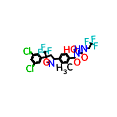 Cc1cc(C2=NOC(c3cc(Cl)cc(Cl)c3)(C(F)(F)F)C2)ccc1C(=O)N(O)C(=O)NCC(F)(F)F